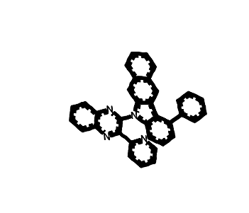 c1ccc(-c2cccc3c2c2cc4ccccc4cc2n3-c2nc3ccccc3nc2-c2ccccn2)cc1